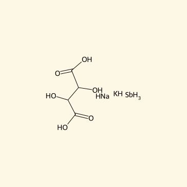 O=C(O)C(O)C(O)C(=O)O.[KH].[NaH].[SbH3]